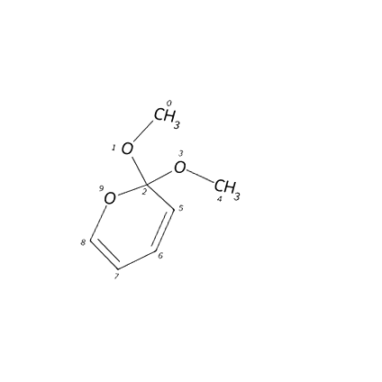 COC1(OC)C=CC=CO1